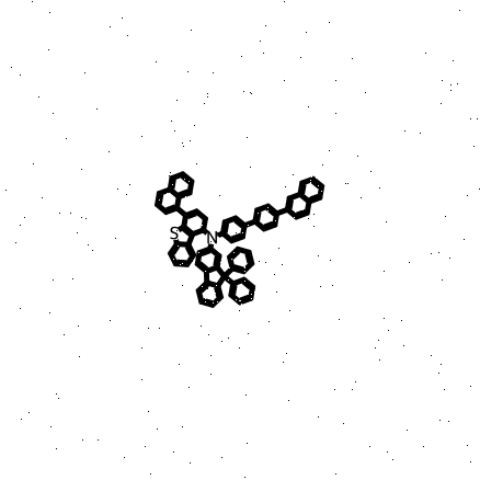 C1=C(c2cccc3ccccc23)c2sc3ccccc3c2C(N(c2ccc(-c3ccc(-c4ccc5ccccc5c4)cc3)cc2)c2ccc3c(c2)C(c2ccccc2)(c2ccccc2)c2ccccc2-3)C1